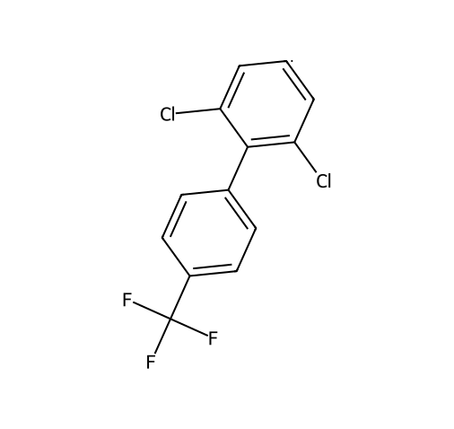 FC(F)(F)c1ccc(-c2c(Cl)c[c]cc2Cl)cc1